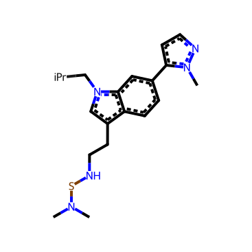 CC(C)Cn1cc(CCNSN(C)C)c2ccc(-c3ccnn3C)cc21